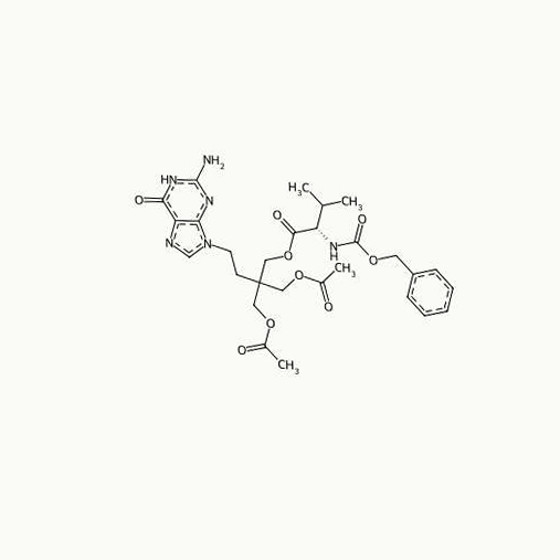 CC(=O)OCC(CCn1cnc2c(=O)[nH]c(N)nc21)(COC(C)=O)COC(=O)[C@@H](NC(=O)OCc1ccccc1)C(C)C